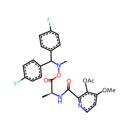 COc1ccnc(C(=O)N[C@@H](C)C(=O)ON(C)C(c2ccc(F)cc2)c2ccc(F)cc2)c1OC(C)=O